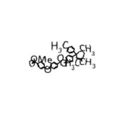 COC(=O)c1ccc(Oc2ccc(C(=O)Oc3ccc(C4(c5ccc(C)cc5)CC(C)CCC(C)(C)C4)cc3)cc2)cc1